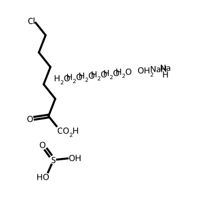 O.O.O.O.O.O.O.O=C(O)C(=O)CCCCCCl.O=S(O)O.[NaH].[NaH]